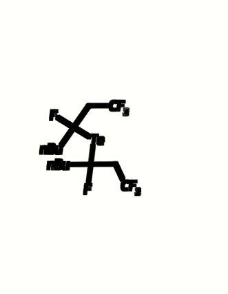 CCCCC(F)(CC(F)(F)F)[Te]C(F)(CCCC)CC(F)(F)F